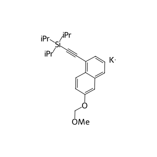 COCOc1ccc2c(C#C[Si](C(C)C)(C(C)C)C(C)C)cccc2c1.[K]